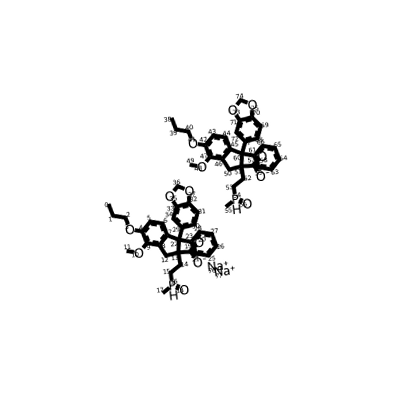 CCCOc1ccc2c(c1OC)CC(CC[PH](C)=O)(C(=O)[O-])C2(c1ccccc1)c1ccc2c(c1)OCO2.CCCOc1ccc2c(c1OC)CC(CC[PH](C)=O)(C(=O)[O-])C2(c1ccccc1)c1ccc2c(c1)OCO2.[Na+].[Na+]